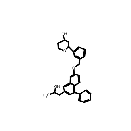 CC(O)Cc1cc(-c2ccccc2)c2ccc(OCc3cccc(C4CC(O)CCO4)c3)cc2c1